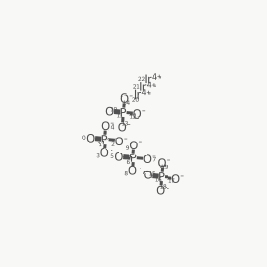 O=P([O-])([O-])[O-].O=P([O-])([O-])[O-].O=P([O-])([O-])[O-].O=P([O-])([O-])[O-].[Ir+4].[Ir+4].[Ir+4]